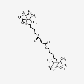 CC(C)[Si](CCCCCOC(=O)/C=C/C(=O)OCCCCC[Si](C(C)C)(C(C)C)C(C)C)(C(C)C)C(C)C